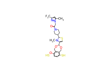 Cc1cc(C(F)(F)F)nn1CC(=O)N1CCC(C2SC=C(C3OCc4c(S)ccc(OS)c4CO3)N2C)CC1